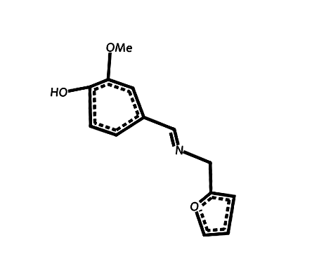 COc1cc(/C=N/Cc2ccco2)ccc1O